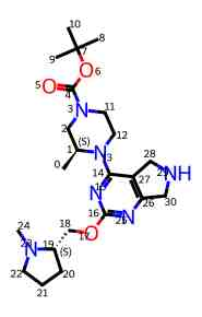 C[C@H]1CN(C(=O)OC(C)(C)C)CCN1c1nc(OC[C@@H]2CCCN2C)nc2c1CNC2